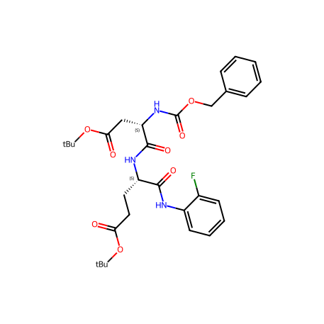 CC(C)(C)OC(=O)CC[C@H](NC(=O)[C@H](CC(=O)OC(C)(C)C)NC(=O)OCc1ccccc1)C(=O)Nc1ccccc1F